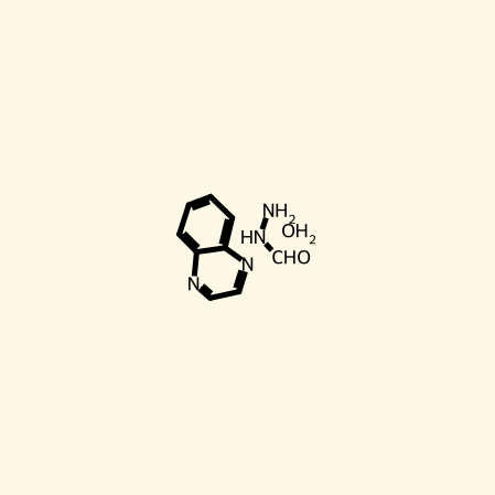 NNC=O.O.c1ccc2nccnc2c1